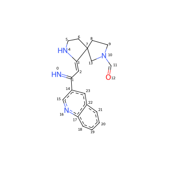 N=C(/C=C1\NCCC12CCN(C=O)C2)c1cnc2ccccc2c1